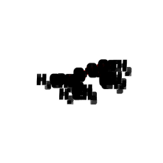 C=C=C(C)OOCCCCOc1c(/C=C/C(=O)Oc2ccc(-c3ccc(OC(=O)/C=C/c4ccc(OCCCCOOCC(=C)C)c(OCCCCOOCC(=C)C)c4OCCCCOC=C)cc3)cc2)ccc(OCCCCOC=C)c1OCCCCOC=C